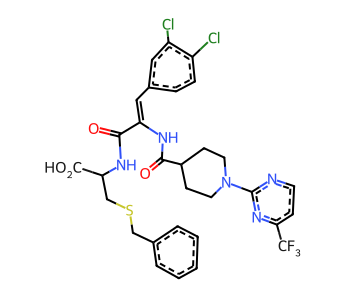 O=C(NC(CSCc1ccccc1)C(=O)O)C(=Cc1ccc(Cl)c(Cl)c1)NC(=O)C1CCN(c2nccc(C(F)(F)F)n2)CC1